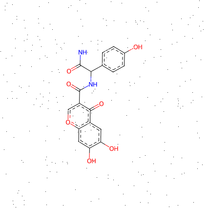 [NH]C(=O)C(NC(=O)c1coc2cc(O)c(O)cc2c1=O)c1ccc(O)cc1